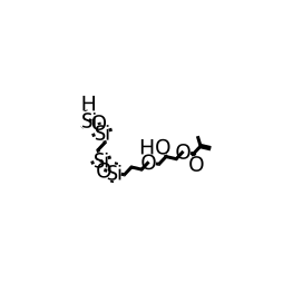 C=C(C)C(=O)OCC(O)COCCC[Si](C)(C)O[Si](C)(C)CC[Si](C)(C)O[SiH](C)C